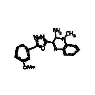 COc1cccc(-c2nnc(C3=Nc4ccccc4N(C)C3N)o2)c1